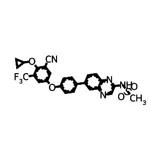 CS(=O)(=O)Nc1cnc2cc(-c3ccc(Oc4cc(C#N)c(OC5CC5)c(C(F)(F)F)c4)cc3)ccc2n1